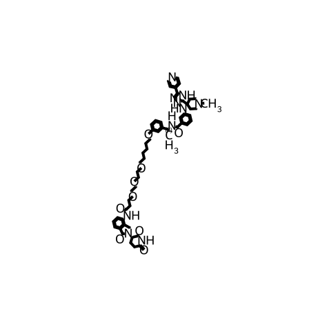 C[C@@H](NC(=O)c1cccc(NC2(c3nnc(-c4ccncc4)[nH]3)CCN(C)CC2)c1)c1cccc(OCCCCCCOCCOCCOCCC(=O)Nc2cccc3c2CN(C2CCC(=O)NC2=O)C3=O)c1